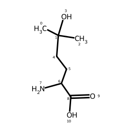 CC(C)(O)CCC(N)C(=O)O